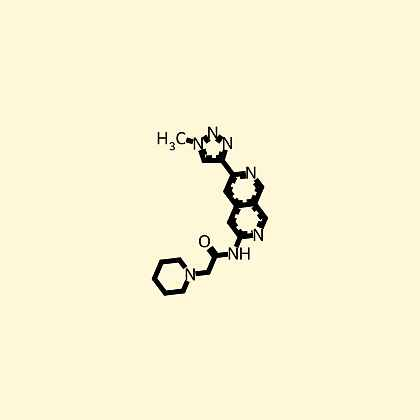 Cn1cc(-c2cc3cc(NC(=O)CN4CCCCC4)ncc3cn2)nn1